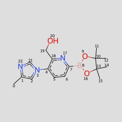 Cc1cn(-c2ccc(B3OC(C)(C)C(C)(C)O3)nc2CO)cn1